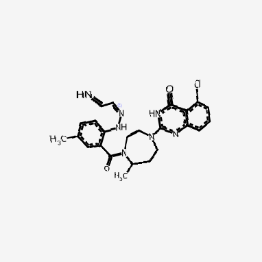 Cc1ccc(N/N=C\C=N)c(C(=O)N2CCN(c3nc4cccc(Cl)c4c(=O)[nH]3)CCC2C)c1